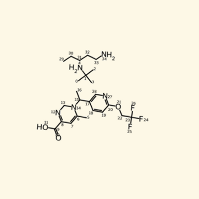 CC(C)(C)N.CC1=CC(C(=O)O)=NCN1C(C)c1ccc(OCC(F)(F)F)nc1.CCCCCN